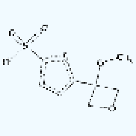 COC1(c2ccc(S(=O)(=O)Cl)s2)COC1